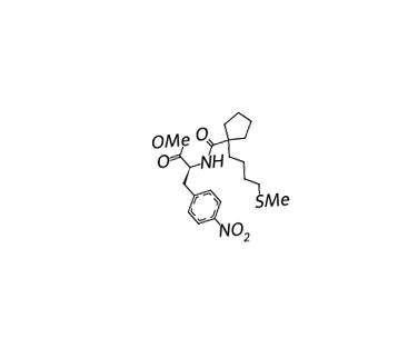 COC(=O)[C@H](Cc1ccc([N+](=O)[O-])cc1)NC(=O)C1(CCCCSC)CCCC1